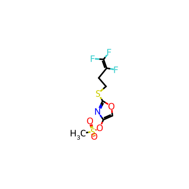 CS(=O)(=O)Oc1coc(SCCC(F)=C(F)F)n1